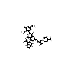 Cc1nc(N)cc(-c2nc3c4c(nc(OCC5(CN6CCC(=C(F)F)CC6)CC5)nc4c2F)N2CC4CCC(N4)C2C(C)O3)c1C(F)(F)F